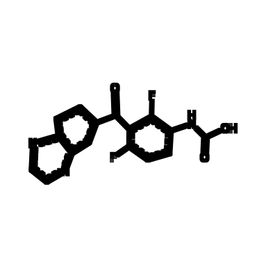 O=C(O)Nc1ccc(F)c(C(=O)c2ccc3nccnc3c2)c1F